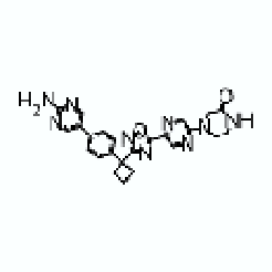 Nc1ncc(-c2ccc(C3(c4noc(-c5cnc(N6CCNC(=O)C6)cn5)n4)CCC3)cc2)cn1